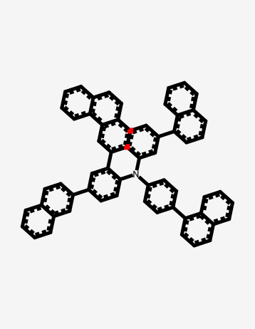 c1cc(-c2cccc3ccccc23)cc(N(c2ccc(-c3cccc4ccccc34)cc2)c2ccc(-c3ccc4ccccc4c3)cc2-c2ccc3ccc4ccccc4c3c2)c1